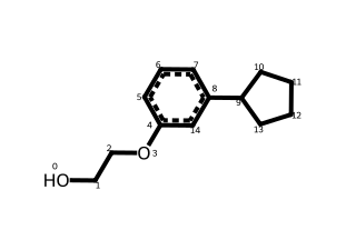 OCCOc1cccc(C2CCCC2)c1